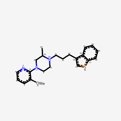 COc1cccnc1N1CCN(CCCc2csc3ccccc23)C(C)C1